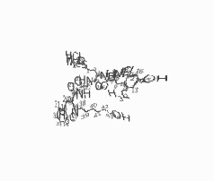 CSCC[C@@H](NC(=O)[C@H](N)Cc1c(C)cc(O)cc1C)C(=O)NCC(=O)NC(=O)[C@H](Cc1ccccc1)N(C)CCCCCCO.Cl.O